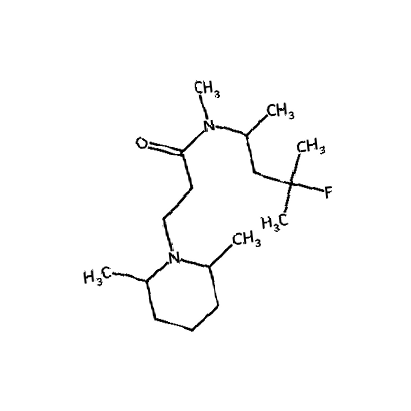 CC(CC(C)(C)F)N(C)C(=O)CCN1C(C)CCCC1C